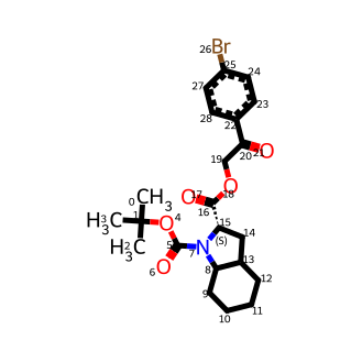 CC(C)(C)OC(=O)N1C2CCCCC2C[C@H]1C(=O)OCC(=O)c1ccc(Br)cc1